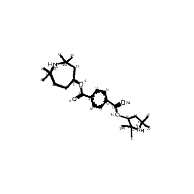 CC1(C)CCC(OC(=O)c2ccc(C(=O)OC3CC(C)(C)NC3(C)C)cc2)CC(C)(C)N1